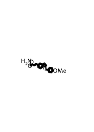 COc1ccc(Cn2ccc3cc(/C=C/C(=O)ON)ccc32)cc1